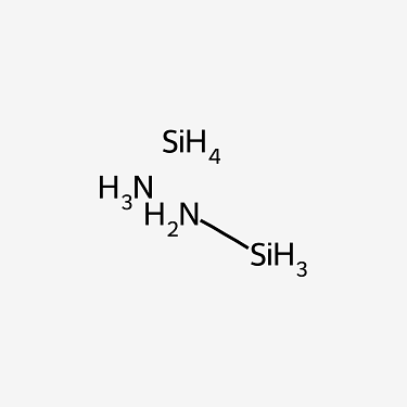 N.N[SiH3].[SiH4]